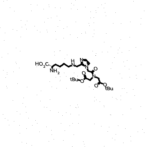 CC(C)(C)OC(=O)CN(CC(=O)OC(C)(C)C)C(=O)Cn1ccnc1CNCCCC[C@H](N)C(=O)O